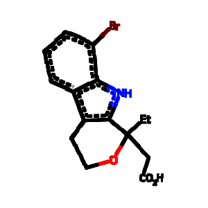 CCC1(CC(=O)O)OCCc2c1[nH]c1c(Br)cccc21